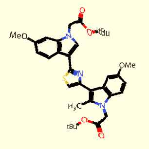 COc1ccc2c(c1)c(-c1csc(-c3cn(CC(=O)OC(C)(C)C)c4cc(OC)ccc34)n1)c(C)n2CC(=O)OC(C)(C)C